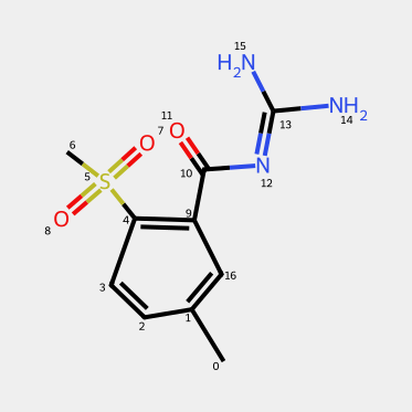 Cc1ccc(S(C)(=O)=O)c(C(=O)N=C(N)N)c1